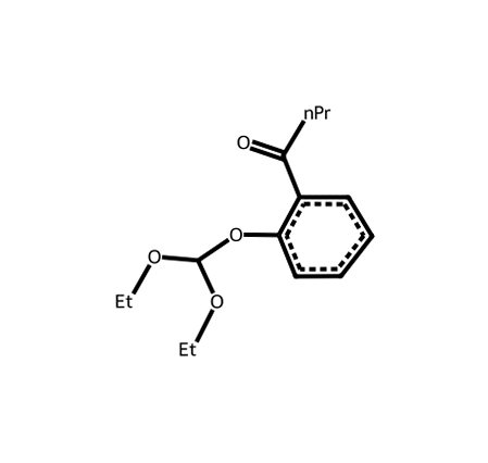 CCCC(=O)c1ccccc1OC(OCC)OCC